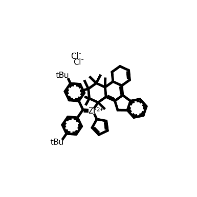 CC(C)(C)c1ccc([C](c2ccc(C(C)(C)C)cc2)=[Zr+2]([CH]2C=CC=C2)[C]2(C)C3=C4Cc5ccccc5C4=C4C=CCCC4C3(C)C(C)(C)C(C)(C)C2(C)C)cc1.[Cl-].[Cl-]